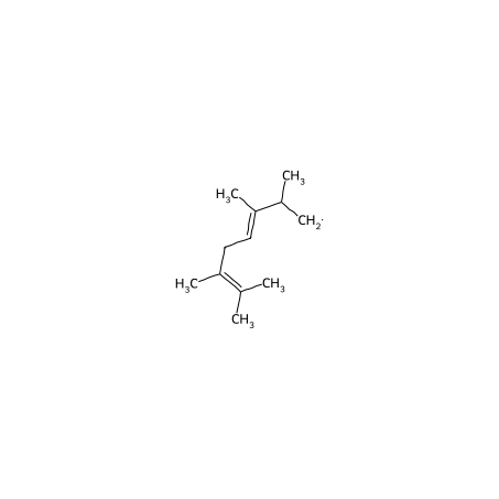 [CH2]C(C)C(C)=CCC(C)=C(C)C